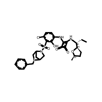 CC[C@@H](Nc1c(Nc2ccc(Cl)c(S(=O)(=O)N3CC4CC3CN4Cc3ccccc3)c2O)c(=O)c1=O)[C@H]1CC[C@@H](C)O1